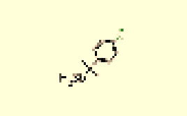 C[C](C)([SbH2])c1ccc(Cl)cc1